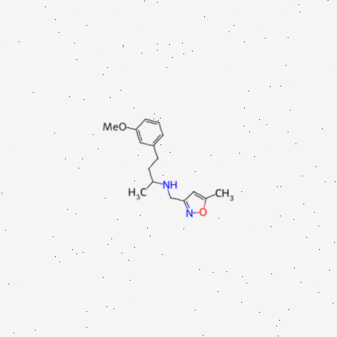 COc1cccc(CCC(C)NCc2cc(C)on2)c1